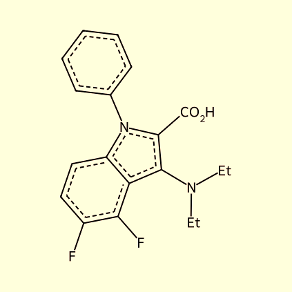 CCN(CC)c1c(C(=O)O)n(-c2ccccc2)c2ccc(F)c(F)c12